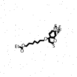 CCC(=O)OCCCCCCCOc1cc(=S)oc2cc(S(F)(F)(F)(F)F)ccc12